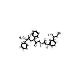 CN(C(=O)CN(C(=O)CNC(=O)Nc1cccc(C(O)CO)c1)c1ccccc1)c1ccccc1